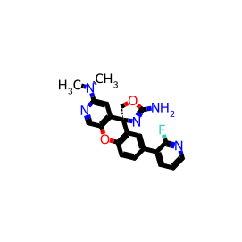 CN(C)c1cc2c(cn1)Oc1ccc(-c3cccnc3F)cc1[C@@]21COC(N)=N1